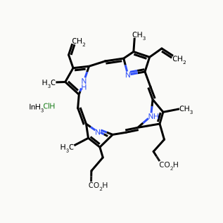 C=CC1=C(C)c2cc3[nH]c(cc4nc(cc5[nH]c(cc1n2)c(C)c5CCC(=O)O)C(CCC(=O)O)=C4C)c(C)c3C=C.Cl.[InH3]